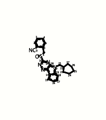 N#Cc1ccccc1C[S+]([O-])c1nnc2c3ccccc3n(CC3CCCCC3)c2n1